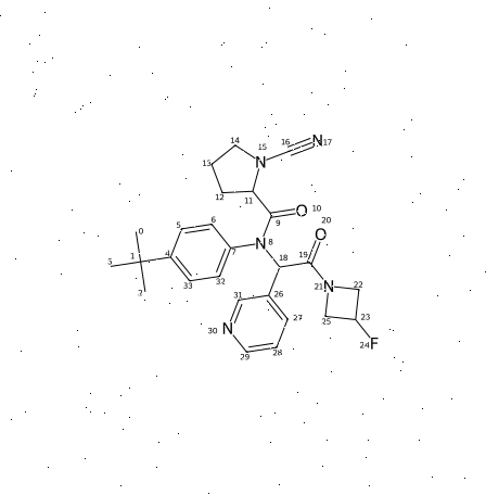 CC(C)(C)c1ccc(N(C(=O)C2CCCN2C#N)C(C(=O)N2CC(F)C2)c2cccnc2)cc1